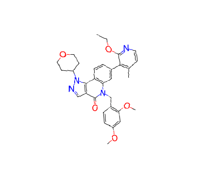 CCOc1nccc(C)c1-c1ccc2c3c(cnn3C3CCOCC3)c(=O)n(Cc3ccc(OC)cc3OC)c2c1